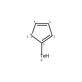 [TeH]c1cccs1